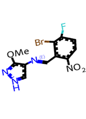 COc1n[nH]cc1/N=C/c1c([N+](=O)[O-])ccc(F)c1Br